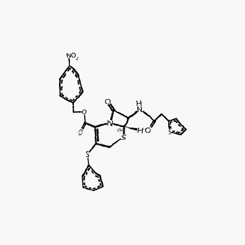 O=C(Cc1cccs1)NC1C(=O)N2C(C(=O)OCc3ccc([N+](=O)[O-])cc3)=C(Sc3ccccc3)CS[C@@H]12